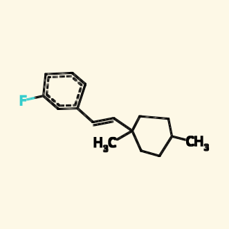 CC1CCC(C)(/C=C/c2cccc(F)c2)CC1